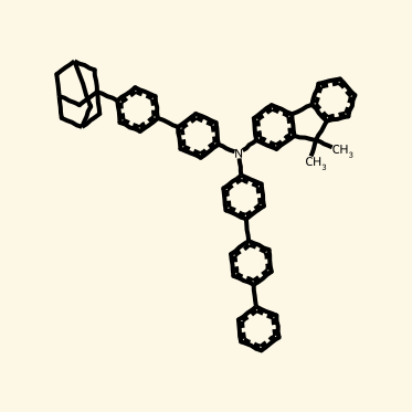 CC1(C)c2ccccc2-c2ccc(N(c3ccc(-c4ccc(-c5ccccc5)cc4)cc3)c3ccc(-c4ccc(C56CC7CC(CC(C7)C5)C6)cc4)cc3)cc21